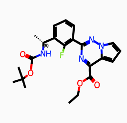 CCOC(=O)c1nc(-c2cccc([C@@H](C)NC(=O)OC(C)(C)C)c2F)nn2cccc12